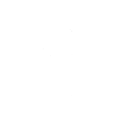 CS(=O)(=O)c1c(Cl)ccc(C(=O)c2cnoc2C2CC2)c1C(F)(F)F